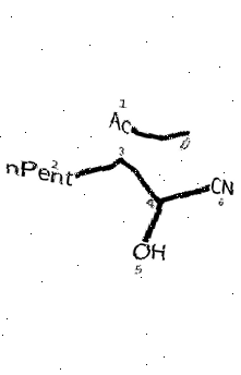 CC(C)=O.CCCCCCC(O)C#N